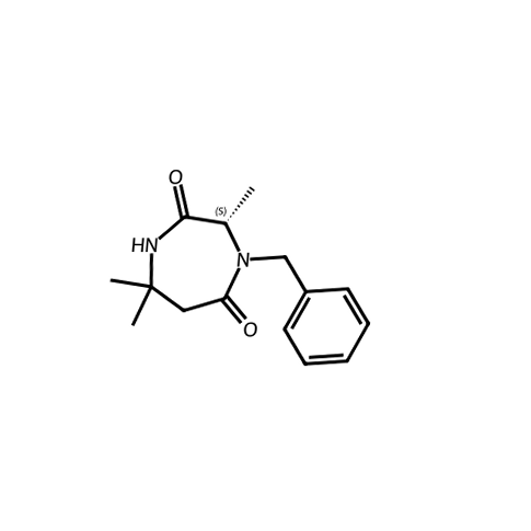 C[C@H]1C(=O)NC(C)(C)CC(=O)N1Cc1ccccc1